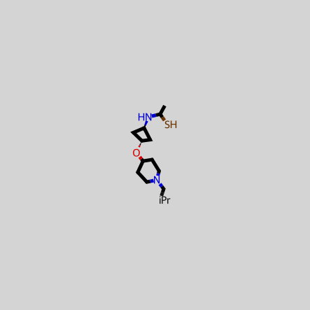 CC(C)CN1CCC(O[C@H]2C[C@H](NC(C)S)C2)CC1